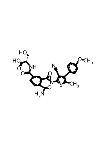 COc1ccc(-c2c(C)sc(NC(=O)c3cc(C(=O)N[C@@H](CO)C(=O)O)ccc3C(N)=O)c2C#N)cc1